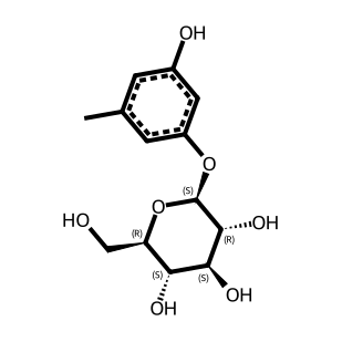 Cc1cc(O)cc(O[C@@H]2O[C@H](CO)[C@@H](O)[C@H](O)[C@H]2O)c1